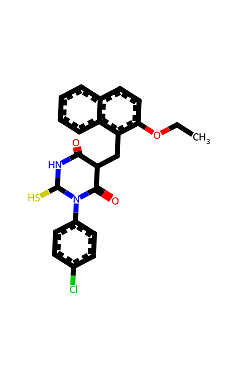 CCOc1ccc2ccccc2c1CC1C(=O)NC(S)N(c2ccc(Cl)cc2)C1=O